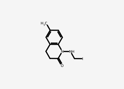 Cc1ccc2c(c1)CCC(=O)N2NCI